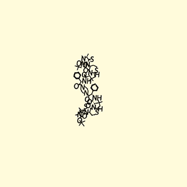 C[C@@H](C(=S)N[C@H]1CCS[C@H]2CC(C)(C)[C@@H](C(=O)N[C@H](C(=O)N3CCN(C(=O)[C@@H](NC(=O)[C@H]4N5C(=O)[C@@H](NC(=S)[C@H](C)N(C)C(=O)OC(C)(C)C)CCS[C@H]5CC4(C)C)c4ccccc4)CC3)c3ccccc3)N2C1=O)N(C)C(=O)OC(C)(C)C